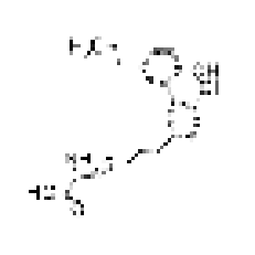 C=CCc1ccc(O)c(-c2cc(CCCSCC(N)C(=O)O)ccc2O)c1